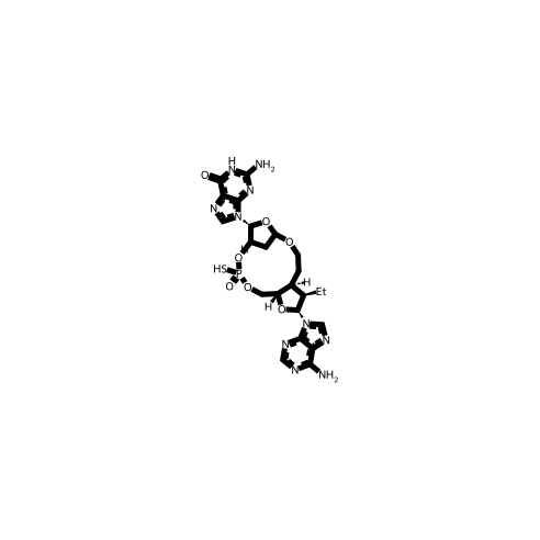 CC[C@@H]1[C@@H]2CCOC3C[C@@H](OP(=O)(S)OC[C@H]2O[C@H]1n1cnc2c(N)ncnc21)[C@H](n1cnc2c(=O)[nH]c(N)nc21)O3